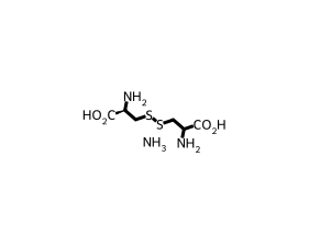 N.NC(CSSC[C@H](N)C(=O)O)C(=O)O